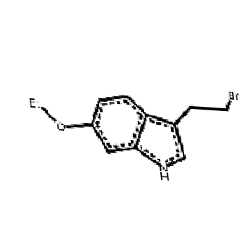 CCOc1ccc2c(CCBr)c[nH]c2c1